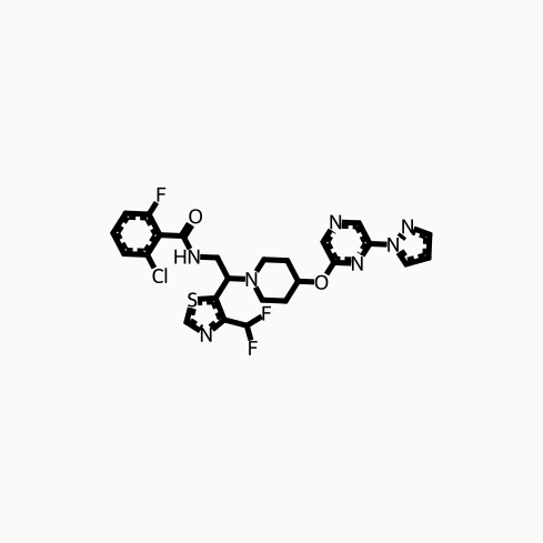 O=C(NCC(c1scnc1C(F)F)N1CCC(Oc2cncc(-n3cccn3)n2)CC1)c1c(F)cccc1Cl